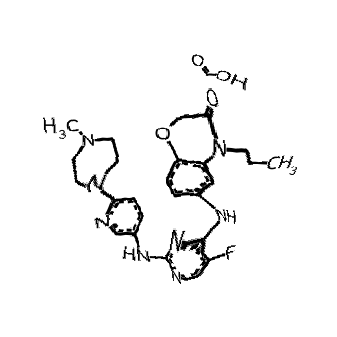 CCCN1C(=O)COc2ccc(Nc3nc(Nc4ccc(N5CCN(C)CC5)nc4)ncc3F)cc21.O=CO